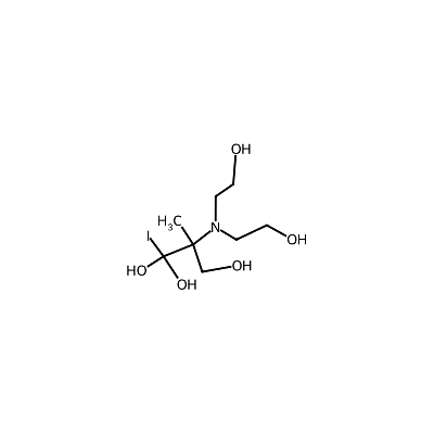 CC(CO)(N(CCO)CCO)C(O)(O)I